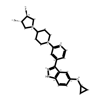 F[C@H]1CN(C2CCN(c3cc(-c4n[nH]c5ccc(OC6CC6)cc45)ccn3)CC2)C[C@@H]1F